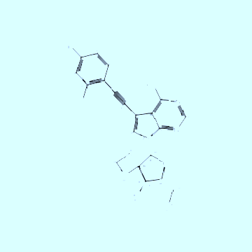 Cc1ncnc2c1c(C#Cc1ccc(Br)cc1F)cn2[C@@H]1O[C@H](CO)[C@@H](O)[C@]12CCO2